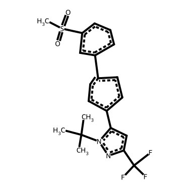 CC(C)(C)n1nc(C(F)(F)F)cc1-c1ccc(-c2cccc(S(C)(=O)=O)c2)cc1